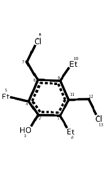 CCc1c(O)c(CC)c(CCl)c(CC)c1CCl